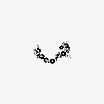 Cc1cc(S(=O)(=O)NCCO[C@H]2CC[C@H](CN3CCC(c4ccn5c(N6CCC(=O)NC6=O)cnc5c4)CC3)CC2)ccc1Nc1ncc2cc(Cl)c(=O)n(C3CCCC3)c2n1